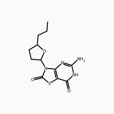 CCCC1CCC(n2c(=O)sc3c(=O)[nH]c(N)nc32)O1